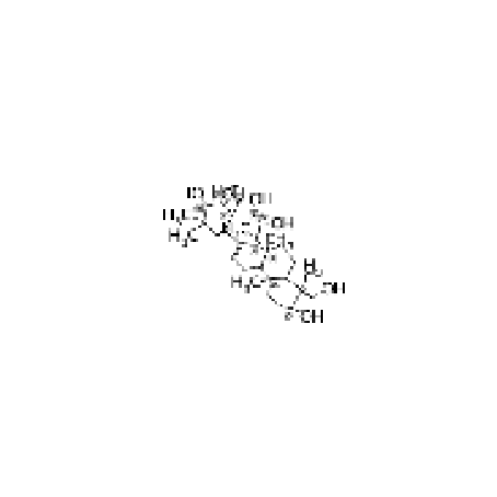 CC[C@@]12C(CC(C)(C)[C@@H](O)[C@@H]1O)C1=CCC3[C@@]4(C)CC[C@H](O)[C@](C)(CO)C4CC[C@@]3(C)[C@]1(C)[C@@H](O)[C@H]2O